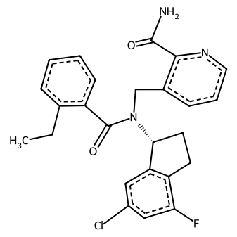 CCc1ccccc1C(=O)N(Cc1cccnc1C(N)=O)[C@@H]1CCc2c(F)cc(Cl)cc21